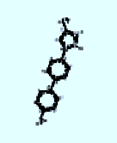 CC(C)c1ccc(-c2ccc(-n3cc(C(C)C)nn3)cc2)cc1